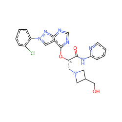 O=C(Nc1ccccn1)[C@H](CN1CC(CO)C1)Oc1ncnc2nn(-c3ccccc3Cl)cc12